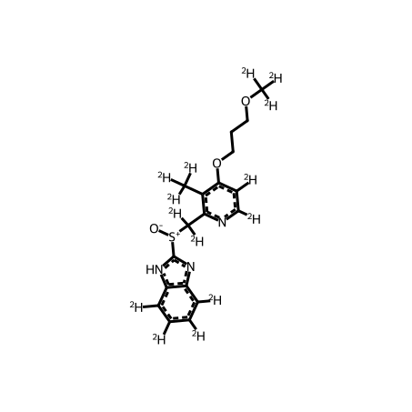 [2H]c1nc(C([2H])([2H])[S+]([O-])c2nc3c([2H])c([2H])c([2H])c([2H])c3[nH]2)c(C([2H])([2H])[2H])c(OCCCOC([2H])([2H])[2H])c1[2H]